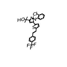 CC(C)(O)c1cc(-c2ccc(C=Cc3ccc(C(F)(F)F)cc3)s2)n(-c2ccccc2Cl)n1